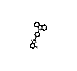 Ic1cccc2oc(-c3ccc(-n4c5ccccc5c5ccccc54)cc3)nc12